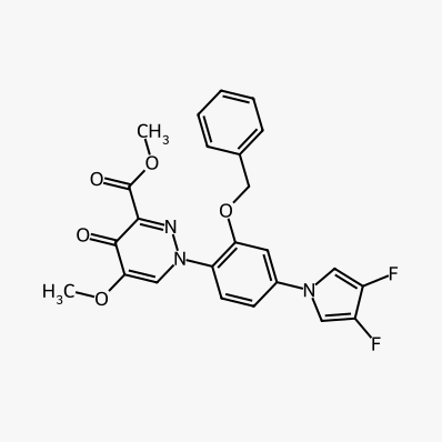 COC(=O)c1nn(-c2ccc(-n3cc(F)c(F)c3)cc2OCc2ccccc2)cc(OC)c1=O